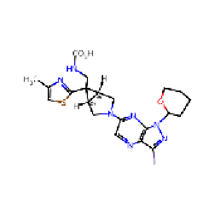 Cc1csc(C2(CNC(=O)O)[C@@H]3CN(c4cnc5c(I)nn(C6CCCCO6)c5n4)C[C@@H]32)n1